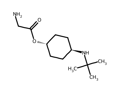 CC(C)(C)N[C@H]1CC[C@H](OC(=O)CN)CC1